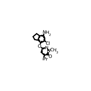 CC(C)c1cc(Oc2c(Cl)cc(N)c3c2CCC3)nn(C)c1=O